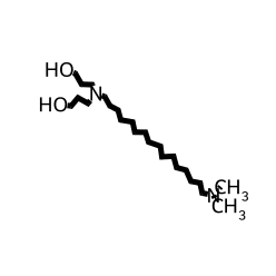 CN(C)CCCCCCCCCCCCCCCCN(CCCO)CCCO